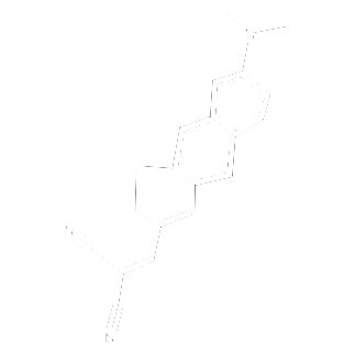 CN(C)c1ccc2cc3c(cc2c1)OCC(C=C(C#N)C#N)=C3